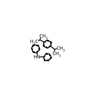 CC(C)c1ccc(C(C)C)cc1.c1ccc(Nc2ccccc2)cc1